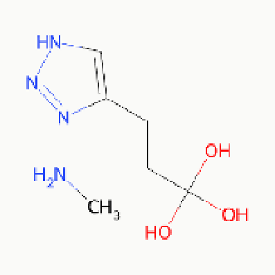 CN.OC(O)(O)CCc1c[nH]nn1